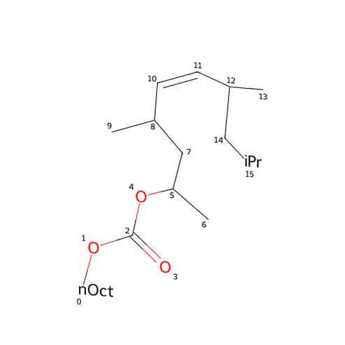 CCCCCCCCOC(=O)OC(C)CC(C)/C=C\C(C)CC(C)C